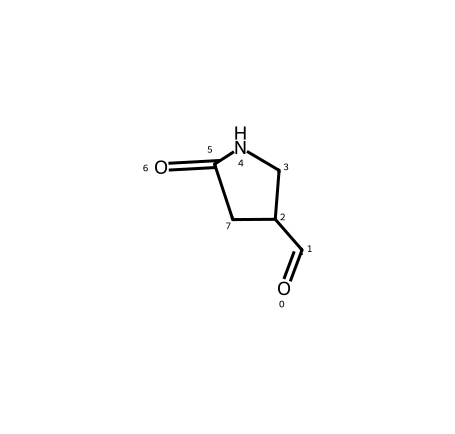 O=[C]C1CNC(=O)C1